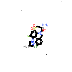 CC(C)(C)c1cnn(-c2cc3c(cc2F)S(=O)(=O)C[C@H](N)C(=O)N3Cc2ccc(Cl)cc2)c1